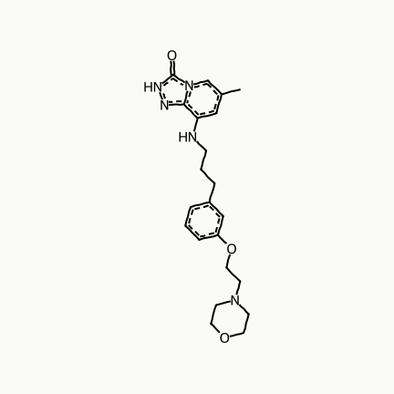 Cc1cc(NCCCc2cccc(OCCN3CCOCC3)c2)c2n[nH]c(=O)n2c1